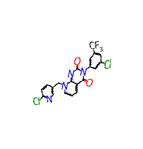 O=c1nc2n(Cc3ccc(Cl)nc3)cccc-2c(=O)n1-c1cc(Cl)cc(C(F)(F)F)c1